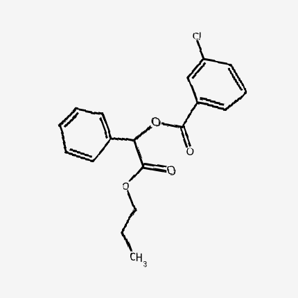 CCCOC(=O)C(OC(=O)c1cccc(Cl)c1)c1ccccc1